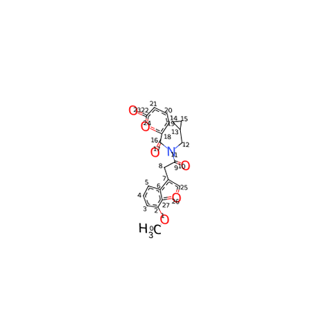 COc1cccc2c(CC(=O)N(CC3CC3)C(=O)c3cccc(=O)o3)coc12